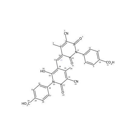 CC1=C(C#N)C(=O)N(c2ccc(C(=O)O)cc2)C(=O)/C1=C\c1c(C)c(C#N)c(=O)n(-c2ccc(C(=O)O)cc2)c1O